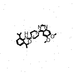 COc1cc2ncnc(N3CCN(C(=O)Nc4c(C(C)C)cccc4C(C)C)CC3)c2cc1OC